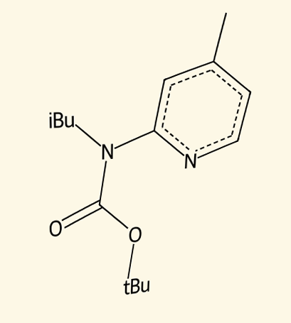 CCC(C)N(C(=O)OC(C)(C)C)c1cc(C)ccn1